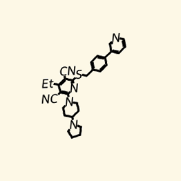 CCc1c(C#N)c(SCc2ccc(-c3cccnc3)cc2)nc(N2CCC(N3CCCC3)CC2)c1C#N